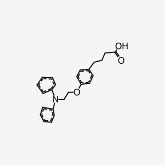 O=C(O)CCCc1ccc(OCCN(c2ccccc2)c2ccccc2)cc1